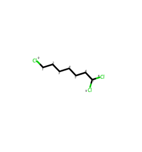 ClCCCCCCC(Cl)Cl